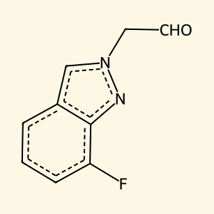 O=CCn1cc2cccc(F)c2n1